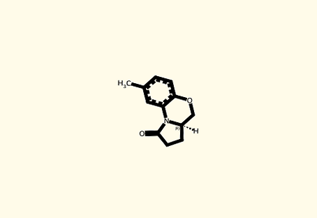 Cc1ccc2c(c1)N1C(=O)CC[C@@H]1CO2